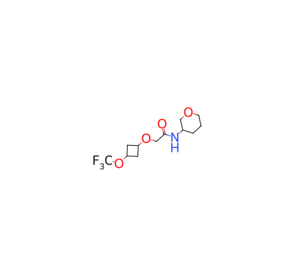 O=C(COC1CC(OC(F)(F)F)C1)NC1CCCOC1